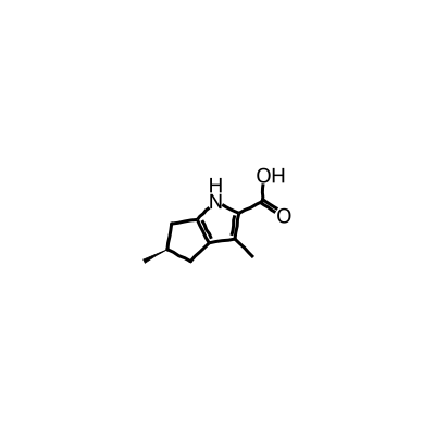 Cc1c(C(=O)O)[nH]c2c1C[C@@H](C)C2